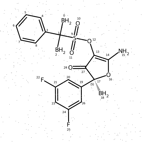 BC(B)(c1ccccc1)S(=O)(=O)OC1=C(N)O[C@@](B)(c2cc(F)cc(F)c2)C1=O